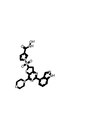 O=C(NO)c1ccn(S(=O)(=O)C2Cc3nc(-c4cccc5[nH]ncc45)nc(N4CCOCC4)c3S2)c1